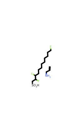 C=CCN.O=S(=O)(O)CC(F)C(F)CCCCCCCCCF